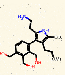 COCCc1c(C(=O)O)[nH]c(CCN)c1-c1ccc(CO)c(CO)c1CO